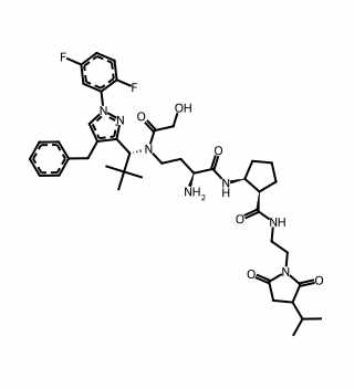 CC(C)C1CC(=O)N(CCNC(=O)[C@@H]2CCC[C@@H]2NC(=O)[C@@H](N)CCN(C(=O)CO)[C@@H](c2nn(-c3cc(F)ccc3F)cc2Cc2ccccc2)C(C)(C)C)C1=O